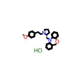 COc1ccc(CCN2CCC[C@H]2CN2c3ccccc3COc3ccccc32)cc1.Cl